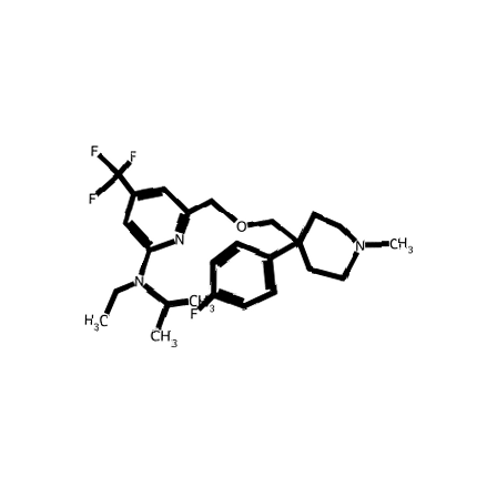 CCN(c1cc(C(F)(F)F)cc(COCC2(c3ccc(F)cc3)CCN(C)CC2)n1)C(C)C